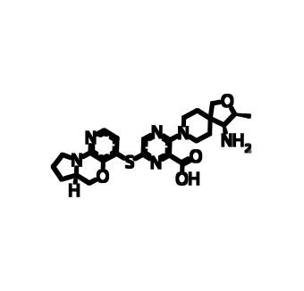 C[C@@H]1OCC2(CCN(c3ncc(Sc4ccnc5c4OC[C@@H]4CCCN54)nc3C(=O)O)CC2)[C@@H]1N